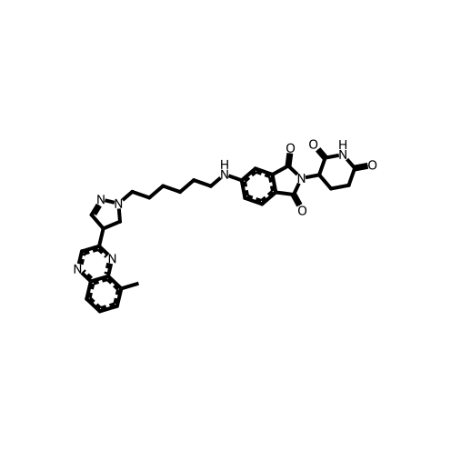 Cc1cccc2ncc(C3C=NN(CCCCCCNc4ccc5c(c4)C(=O)N(C4CCC(=O)NC4=O)C5=O)C3)nc12